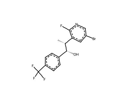 C[C@H](c1cc(Br)cnc1F)[C@H](O)c1ccc(C(F)(F)F)cc1